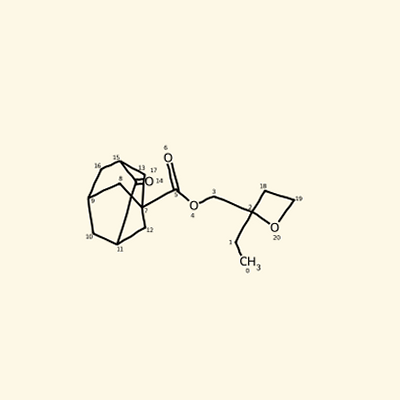 CCC1(COC(=O)C23CC4CC(C2)C(=O)C(C4)C3)CCO1